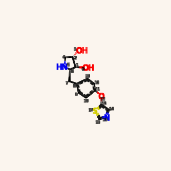 O[C@@H]1[C@@H](O)CN[C@@H]1Cc1ccc(Oc2cncs2)cc1